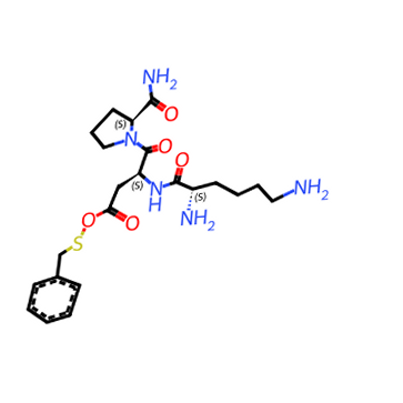 NCCCC[C@H](N)C(=O)N[C@@H](CC(=O)OSCc1ccccc1)C(=O)N1CCC[C@H]1C(N)=O